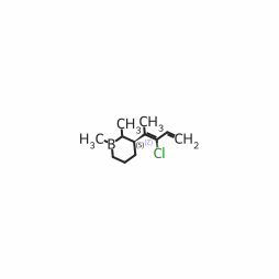 C=C/C(Cl)=C(\C)[C@H]1CCCB(C)C1C